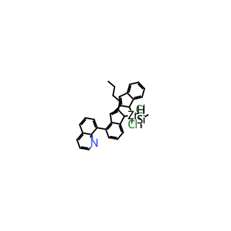 CCCCC1=Cc2c(-c3cccc4cccnc34)cccc2[CH]1[Zr]([Cl])([Cl])([CH]1C(C)=Cc2ccccc21)[SiH](C)C